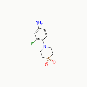 Nc1ccc(N2CCS(=O)(=O)CC2)c(F)c1